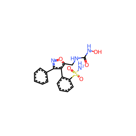 NS(=O)(=O)c1ccccc1-c1c(-c2ccccc2)noc1CNC(=O)NO